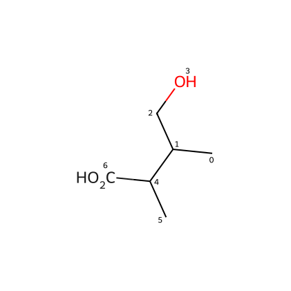 CC(CO)C(C)C(=O)O